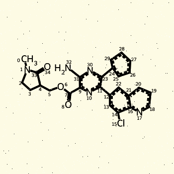 CN1CCC(COC(=O)c2nc(-c3cc(Cl)c4ncccc4c3)c(-c3ccccc3)nc2N)C1=O